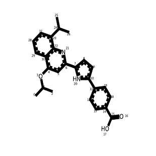 CC(C)Oc1cc(-c2ccc(-c3ccc(C(=O)O)cc3)[nH]2)nc2c(C(C)C)cccc12